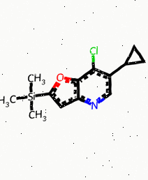 C[Si](C)(C)c1cc2ncc(C3CC3)c(Cl)c2o1